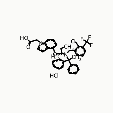 CC[C@@](C)(Oc1cccc2c1ccn2CC(=O)O)N(Cc1cccc(C(F)(F)F)c1Cl)C(C)(c1ccccc1)c1ccccc1.Cl